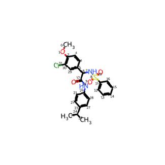 COc1ccc(C(NS(=O)(=O)c2ccccc2)C(=O)Nc2ccc(C(C)C)cc2)cc1Cl